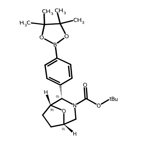 CC(C)(C)OC(=O)N1C[C@@H]2CC[C@@H](O2)[C@@H]1c1ccc(B2OC(C)(C)C(C)(C)O2)cc1